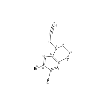 C#CCN1CCOc2cc(F)c(Br)cc21